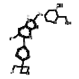 OCC1OC[C@H](Oc2nc3nc(-c4ccc(C5(CO)COC5)cc4)c(Cl)cc3[nH]2)C[C@@H]1O